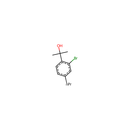 CCCc1ccc(C(C)(C)O)c(Br)c1